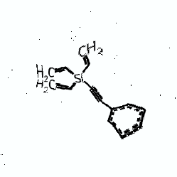 C=C[Si](C#Cc1ccccc1)(C=C)C=C